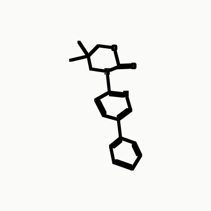 CC1(C)COC(=O)N(c2ccc(-c3ccccc3)cn2)C1